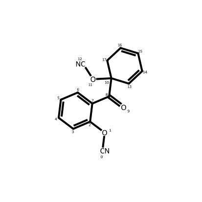 N#COc1ccccc1C(=O)C1(OC#N)C=CC=CC1